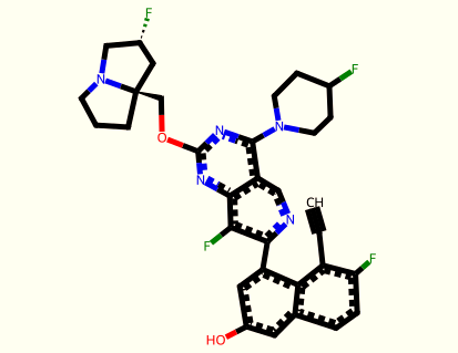 C#Cc1c(F)ccc2cc(O)cc(-c3ncc4c(N5CCC(F)CC5)nc(OC[C@@]56CCCN5C[C@H](F)C6)nc4c3F)c12